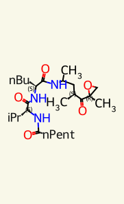 CCCCCC(=O)N[C@H](C(=O)N[C@@H](CCCC)C(=O)NC(C)C[C@H](C)C(=O)[C@@]1(C)CO1)C(C)C